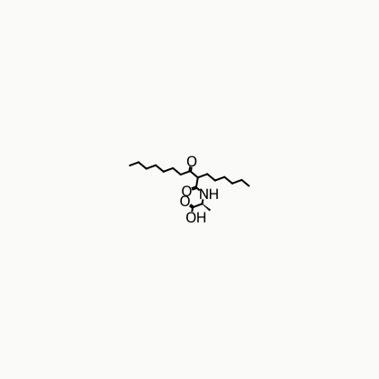 CCCCCCCC(=O)C(CCCCCC)C(=O)N[C@@H](C)C(=O)O